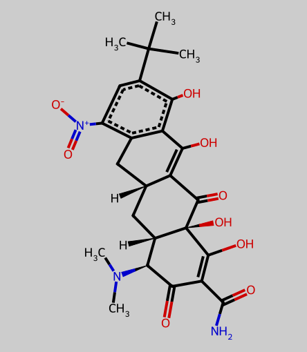 CN(C)[C@@H]1C(=O)C(C(N)=O)=C(O)[C@@]2(O)C(=O)C3=C(O)c4c(O)c(C(C)(C)C)cc([N+](=O)[O-])c4C[C@H]3C[C@@H]12